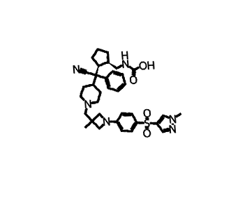 Cn1cc(S(=O)(=O)c2ccc(N3CC(C)(CN4CCC(C(C#N)(c5ccccc5)[C@H]5CCC[C@H]5CNC(=O)O)CC4)C3)cc2)cn1